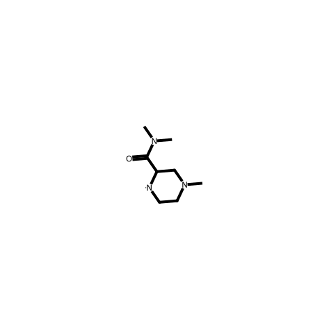 CN1CC[N]C(C(=O)N(C)C)C1